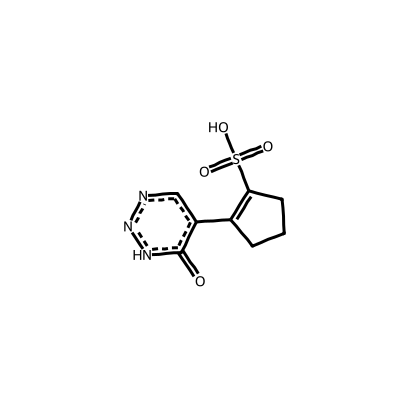 O=c1[nH]nncc1C1=C(S(=O)(=O)O)CCC1